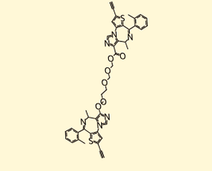 C#Cc1cc2c(s1)C(c1ccccc1C)=NC(C)c1c(OOCCOCOCOC(=O)c3ncn4c3C(C)N=C(c3ccccc3C)c3sc(C#C)cc3-4)ncn1-2